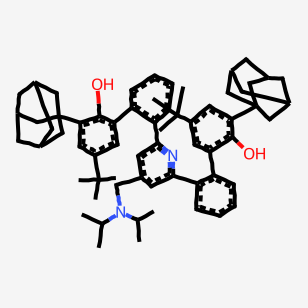 CC(C)N(Cc1cc(-c2ccccc2-c2cc(C(C)(C)C)cc(C34CC5CC(CC(C5)C3)C4)c2O)nc(-c2ccccc2-c2cc(C(C)(C)C)cc(C34CC5CC(CC(C5)C3)C4)c2O)c1)C(C)C